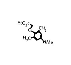 CCOC(=O)COc1c(C)cc(NC)cc1C